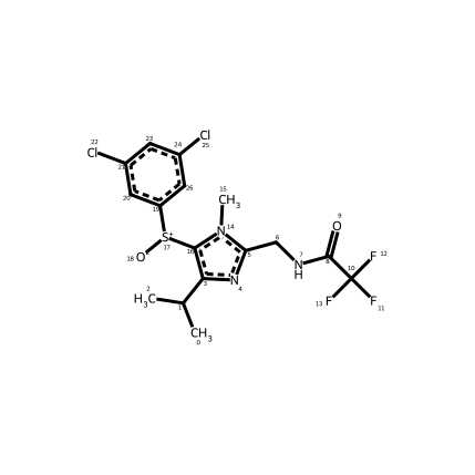 CC(C)c1nc(CNC(=O)C(F)(F)F)n(C)c1[S+]([O-])c1cc(Cl)cc(Cl)c1